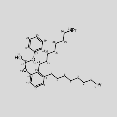 CC(C)CCCCCCCc1cccc(OP(O)Oc2ccccc2)c1CCCCCCCC(C)C